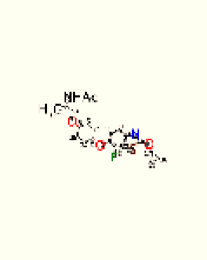 CC(=O)N[C@@H](C)CO[C@H]1CC[C@H](Oc2ccc3nc(OC4CC4)sc3c2F)CC1